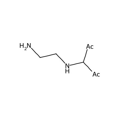 CC(=O)C(NCCN)C(C)=O